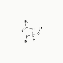 CCOP(=O)(NC(=O)C(C)CC)OCC